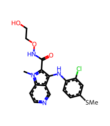 CSc1ccc(Nc2c(C(=O)NOCCO)n(C)c3ccncc23)c(Cl)c1